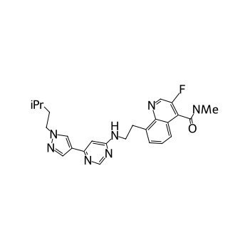 CNC(=O)c1c(F)cnc2c(CCNc3cc(-c4cnn(CCC(C)C)c4)ncn3)cccc12